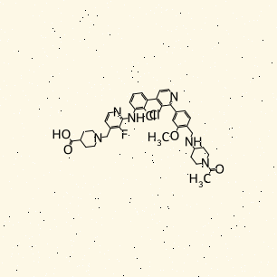 COc1cc(-c2nccc(-c3cccc(Nc4nccc(CN5CCC(C(=O)O)CC5)c4F)c3Cl)c2Cl)ccc1CNC1CCN(C(C)=O)CC1